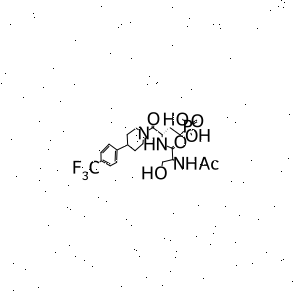 CC(=O)N[C@@H](CO)C(=O)N[C@@H](CCP(=O)(O)O)C(=O)N1CCC(c2ccc(C(F)(F)F)cc2)CC1